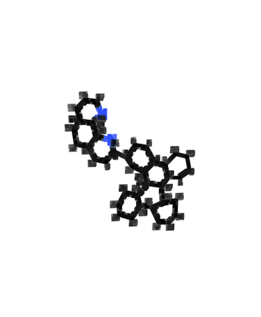 C1=Cc2c(c3ccc(-c4ccc5ccc6cccnc6c5n4)cc3c3c4ccccc4c4ccccc4c23)CC1